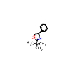 CC(C)(C)C1=NC(c2ccccc2)CO1